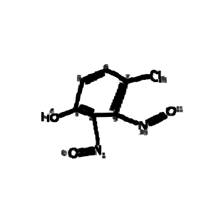 O=Nc1c(O)ccc(Cl)c1N=O